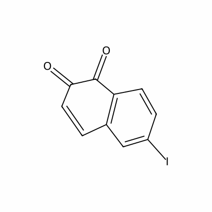 O=C1C=Cc2cc(I)ccc2C1=O